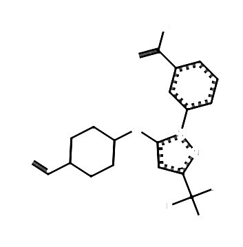 CC(=O)c1cccc(-n2nc(C(F)(F)F)cc2OC2CCC(C=O)CC2)c1